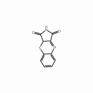 O=C1NC(=O)C2Sc3ccccc3N=C12